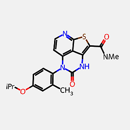 CNC(=O)c1sc2nccc3c2c1NC(=O)N3c1ccc(OC(C)C)cc1C